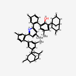 COc1cc(-c2cc(C)ccc2-c2cc(C(C)(C)C)cc(C34CC(C)CC(CC(C)C3)C4)c2)nc(-c2cc(C)ccc2-c2cc(C(C)(C)C)cc(C34CC(C)CC(CC(C)C3)C4)c2O)c1